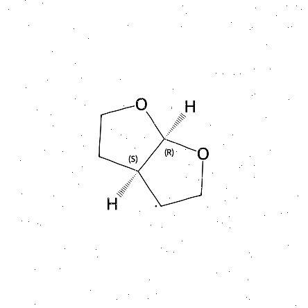 [CH]1CO[C@@H]2OCC[C@H]12